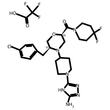 Nc1nnc(N2CCC(N3C[C@H](C(=O)N4CCC(F)(F)CC4)OC[C@@H]3Cc3ccc(Cl)cc3)CC2)[nH]1.O=C(O)C(F)(F)F